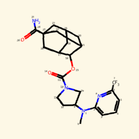 CN(c1cccc(C(F)(F)F)n1)C1CCN(C(=O)OC2C3CC4CC2CC(C(N)=O)(C4)C3)C1